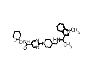 CC(NCC1CCN(c2ncc(C(=O)NOC3CCCCO3)cn2)CC1)c1cn(C)c2ccccc12